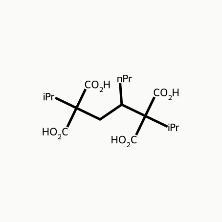 CCCC(CC(C(=O)O)(C(=O)O)C(C)C)C(C(=O)O)(C(=O)O)C(C)C